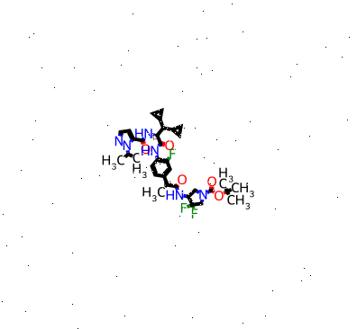 CC(C)n1nccc1C(=O)N[C@H](C(=O)Nc1ccc([C@H](C)C(=O)NC2CN(C(=O)OC(C)(C)C)CC2(F)F)cc1F)C(C1CC1)C1CC1